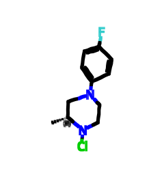 C[C@@H]1CN(c2ccc(F)cc2)CCN1Cl